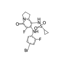 O=c1c(F)c(Nc2ccc(Br)cc2F)c(NS(=O)(=O)C2CC2)c2n1CCC2